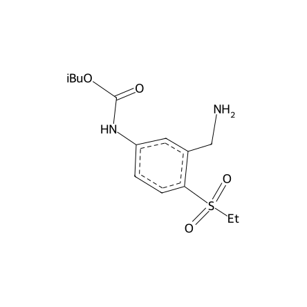 CCS(=O)(=O)c1ccc(NC(=O)OCC(C)C)cc1CN